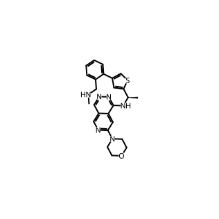 CNCc1ccccc1-c1csc([C@@H](C)Nc2nncc3cnc(N4CCOCC4)cc23)c1